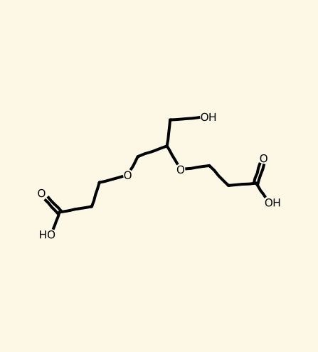 O=C(O)CCOCC(CO)OCCC(=O)O